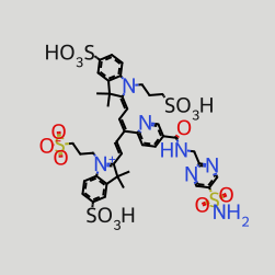 CC1(C)C(/C=C/C(=C/C=C2/N(CCCS(=O)(=O)O)c3ccc(S(=O)(=O)O)cc3C2(C)C)c2ccc(C(=O)NCc3ncc(S(N)(=O)=O)cn3)cn2)=[N+](CCCS(=O)(=O)[O-])c2ccc(S(=O)(=O)O)cc21